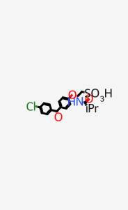 CC(C)C(=O)NC(CS(=O)(=O)O)Oc1ccc(C(=O)c2ccc(Cl)cc2)cc1